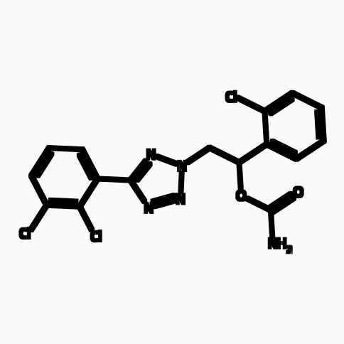 NC(=O)OC(Cn1nnc(-c2cccc(Cl)c2Cl)n1)c1ccccc1Cl